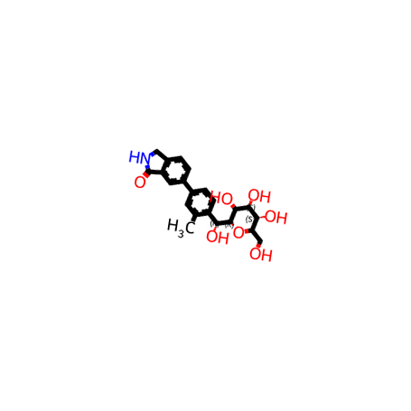 Cc1cc(-c2ccc3c(c2)C(=O)NC3)ccc1[C@@H](O)[C@H]1OC(CO)[C@@H](O)[C@H](O)C1O